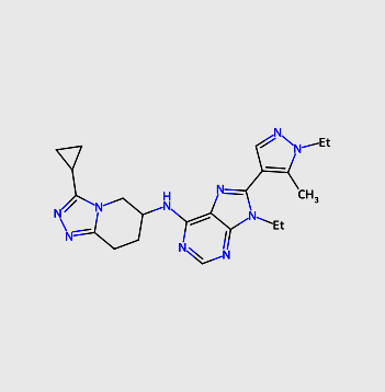 CCn1ncc(-c2nc3c(NC4CCc5nnc(C6CC6)n5C4)ncnc3n2CC)c1C